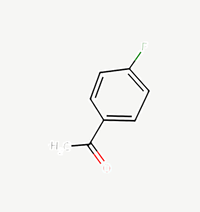 [CH2]C(=O)c1ccc(F)cc1